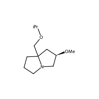 CO[C@H]1CN2CCCC2(COC(C)C)C1